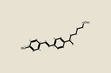 CCCCCCCCCCCCCCC(C)c1ccc(C=Cc2ccc(C(C)(C)C)cc2)cc1